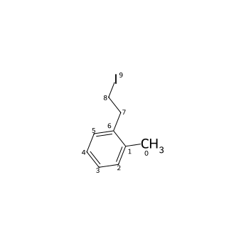 Cc1ccccc1CCI